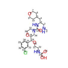 CNCC(CC1CCOCC1)NC(=O)N1CCOC(C(OCCNC(=O)O)c2cccc(Cl)c2)C1